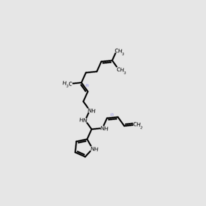 C=C/C=C\NC(NNC/C=C(\C)CCC=C(C)C)c1ccc[nH]1